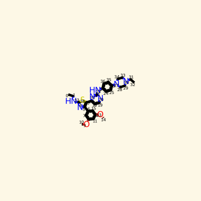 CCNc1nc(-c2cc(OC)cc(OC)c2)c(-c2ccnc(Nc3ccc(N4CCN(CC)CC4)cc3)n2)s1